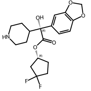 O=C(O[C@@H]1CCC(F)(F)C1)[C@](O)(c1ccc2c(c1)OCO2)C1CCNCC1